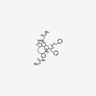 CNC(=O)c1c(CCC(=O)OC(C)(C)C)cc([C@H](CC(=O)OCc2ccccc2)C(=O)OCc2ccccc2)c2c1OCCCc1cc(NC(=O)OC(C)(C)C)ccc1C(=O)O2